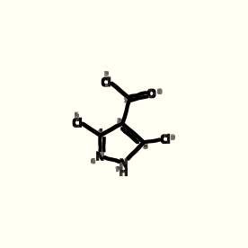 O=C(Cl)c1c(Cl)n[nH]c1Cl